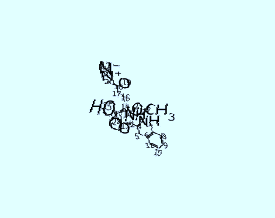 CC(=O)N[C@@H](Cc1ccccc1)C(=O)N[C@@H](CCC(=O)C=[N+]=[N-])C(=O)O